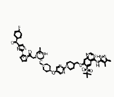 Cc1n[nH]c(Nc2ncnc3cc(OCC4CCN(c5ncc(OC6CCN(C[C@H]7CN[C@H](C)CN7CC(=O)N7CCC[C@H]7c7nc(C(=O)c8ccc(F)cc8)cs7)CC6)cn5)CC4)c(S(=O)(=O)C(C)(C)C)cc23)c1C